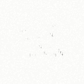 Cc1cccc(Cn2c(C)nc3c(-c4nnc[nH]4)cc(N4CCOCC4)cc32)c1Cl